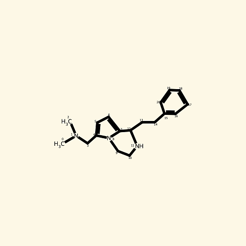 CN(C)Cc1ccc2n1CCNC2CCc1ccccc1